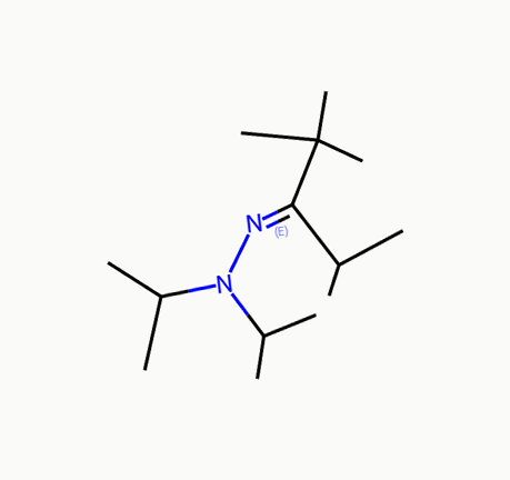 CC(C)/C(=N\N(C(C)C)C(C)C)C(C)(C)C